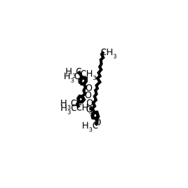 CC(C)(C)c1ccc(C(=O)CC(=O)c2ccc(C(C)(C)C)cc2)cc1.CCCCCCCCCCCCCCCCCC(=O)CC(=O)c1ccc(OC)cc1